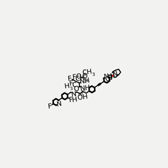 COC(=O)NC(C(=O)N[C@@H](Cc1ccc(C#Cc2ccc(N3CC4CCC(C3)N4C3COC3)nc2)cc1)[C@@H](O)CNCc1ccc(-c2ccc(F)cn2)cc1F)C(C)(C)C(F)(F)F